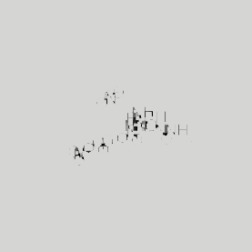 NC(=O)NCCC[C@@H](NC(=O)C1(C(=O)NCCCCCN2C(=O)C=CC2=O)CCC1)C(=O)Nc1ccc(COC(=O)Oc2ccc([N+](=O)[O-])cc2)cc1